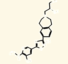 CCCNc1ncc(-c2nc(-c3ccc4c(c3)CCN(C[C@H](O)CO)CC4)no2)cc1C#N.Cl